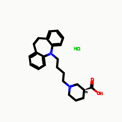 Cl.O=C(O)[C@@H]1CCCN(CCCCN2c3ccccc3CCc3ccccc32)C1